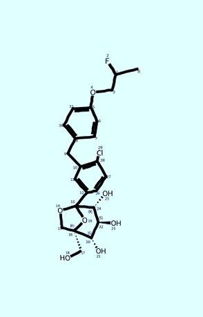 CC(F)COc1ccc(Cc2cc(C34OC[C@@](CO)(O3)[C@@H](O)[C@H](O)[C@H]4O)ccc2Cl)cc1